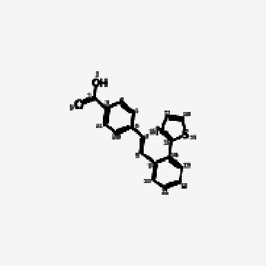 O=C(O)c1ccc(C=Cc2ccccc2-c2nccs2)cc1